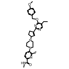 CCc1cnc(C2=CC(N3CCN(c4ccc(C(=O)NC)nc4F)CC3)CC2)nc1OCc1ccc(OC)cc1